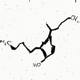 CCCCc1cc(C(I)CCC)ccc1O